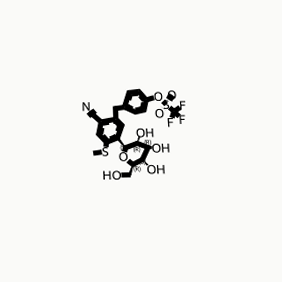 CSc1cc(C#N)c(Cc2ccc(OS(=O)(=O)C(F)(F)F)cc2)cc1[C@@H]1O[C@H](CO)[C@@H](O)[C@H](O)[C@H]1O